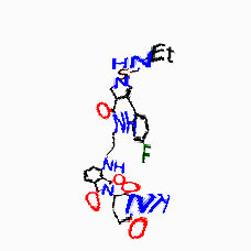 CCNCSN1CC(C(=O)NCCCNc2cccc3c2C(=O)N(C2CCC(=O)NC2=O)C3=O)C(c2ccc(F)cc2)C1